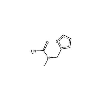 [CH2]N(Cc1cccs1)C(N)=O